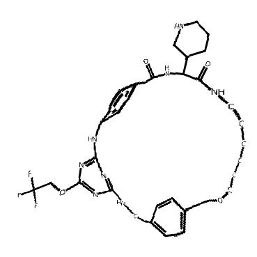 O=C1NC(C2CCCNC2)C(=O)NCCCCCCOc2ccc(cc2)CNc2nc(nc(OCC(F)(F)F)n2)Nc2ccc1cc2